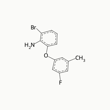 Cc1cc(F)cc(Oc2cccc(Br)c2N)c1